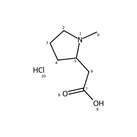 CN1CCCC1CC(=O)O.Cl